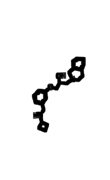 OC(COc1cccc(CNC2CCC2)c1)CN1CCc2ccccc2C1